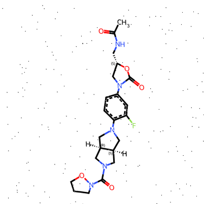 CC(=O)NC[C@H]1CN(c2ccc(N3C[C@H]4CN(C(=O)N5CCCO5)C[C@H]4C3)c(F)c2)C(=O)O1